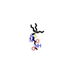 CCC[CH2][Sn]([CH2]CCC)([CH2]CCC)[c]1cn2cnc(C(=O)CNC(C)=O)c2s1